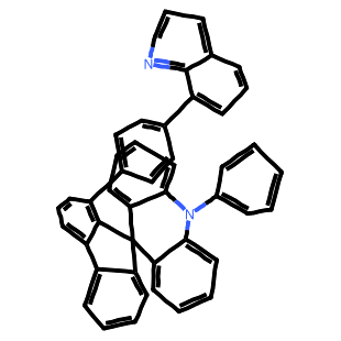 c1ccc(N2c3ccccc3C3(c4ccccc4-c4cccc(-c5ccc(-c6cccc7cccnc67)cc5)c43)c3ccccc32)cc1